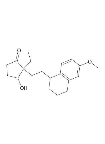 CCC1(CCC2CCCc3cc(OC)ccc32)C(=O)CCC1O